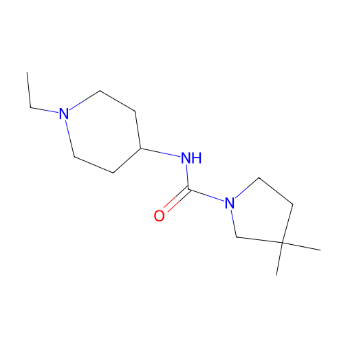 CCN1CCC(NC(=O)N2CCC(C)(C)C2)CC1